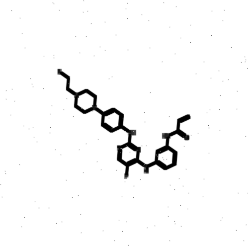 C=CC(=O)Nc1cccc(Nc2nc(Nc3ccc(N4CCN(CCF)CC4)cc3)ncc2F)c1